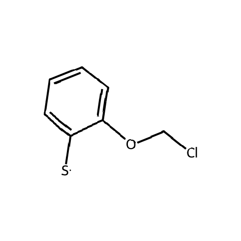 [S]c1ccccc1OCCl